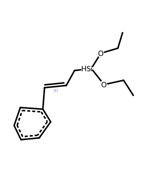 CCO[SiH](C/C=C/c1ccccc1)OCC